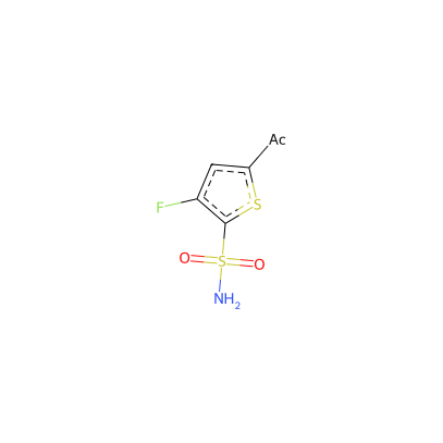 CC(=O)c1cc(F)c(S(N)(=O)=O)s1